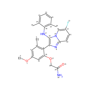 CCOc1cc(CC)c(-c2nc3ccc(F)cn3c2Nc2c(C)cccc2C)c(OCC(N)=O)c1